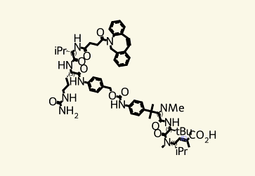 CN[C@H](C(=O)N[C@H](C(=O)N(C)[C@H](/C=C(\C)C(=O)O)C(C)C)C(C)(C)C)C(C)(C)c1ccc(NC(=O)OCc2ccc(NC(=O)[C@H](CCCNC(N)=O)NC(=O)[C@@H](NC(=O)CCC(=O)N3Cc4ccccc4C#Cc4ccccc43)C(C)C)cc2)cc1